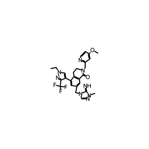 CCn1cc(-c2cc(Cn3cnn(C)c3=N)cc3c2CCN(Cc2cc(OC)ccn2)C3=O)c(C(F)(F)F)n1